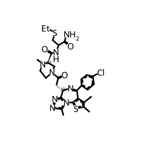 CCSCC(NC(=O)[C@H]1CN(C(=O)C[C@@H]2N=C(c3ccc(Cl)cc3)c3c(sc(C)c3C)-n3c(C)nnc32)CCN1C)C(N)=O